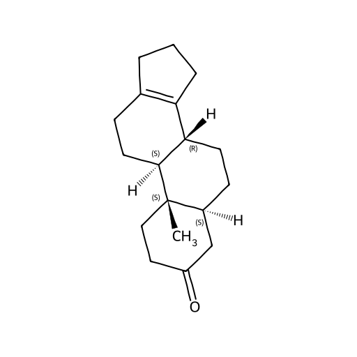 C[C@]12CCC(=O)C[C@@H]1CC[C@H]1C3=C(CCC3)CC[C@@H]12